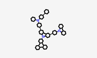 c1ccc(-c2ccc(N(c3ccccc3)c3ccc(-c4ccc5c(c4)c4cc(-c6ccc(-n7c8ccccc8c8ccccc87)cc6)ccc4n5-c4ccc5c6ccccc6c6ccccc6c5c4)cc3)cc2)cc1